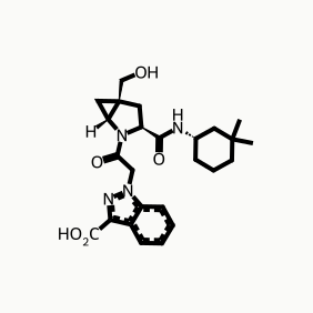 CC1(C)CCC[C@H](NC(=O)[C@@H]2C[C@@]3(CO)C[C@H]3N2C(=O)Cn2nc(C(=O)O)c3ccccc32)C1